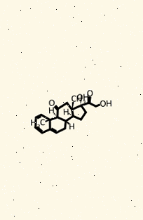 C[C@]12C=CC=CC1=CC[C@@H]1[C@@H]2C(=O)C[C@@]2(C)[C@H]1CC[C@]2(O)C(=O)CO